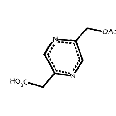 CC(=O)OCc1cnc(CC(=O)O)cn1